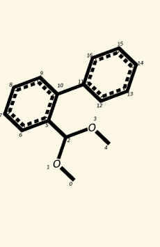 COC(OC)c1ccccc1-c1ccccc1